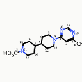 N#Cc1cc(N2CCC(C3CCN(C(=O)O)CC3)CC2)ncn1